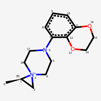 C[C@@H]1C[N+]12CCN(c1cccc3c1OCCO3)CC2